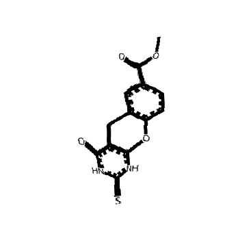 COC(=O)c1ccc2c(c1)Cc1c([nH]c(=S)[nH]c1=O)O2